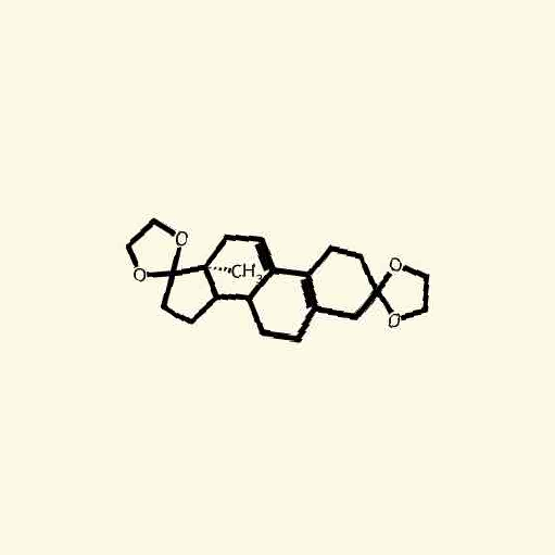 C[C@]12CC=C3C4=C(CCC3C1CCC21OCCO1)CC1(CC4)OCCO1